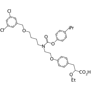 CCOC(Cc1ccc(OCCN(CCCCOCc2cc(Cl)cc(Cl)c2)C(=O)Oc2ccc(C(C)C)cc2)cc1)C(=O)O